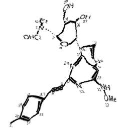 CCN(C=O)[C@H]1O[C@@H](n2cnc3c(NOC)nc(C#Cc4ccc(C)cc4)nc32)[C@H](O)[C@@H]1O